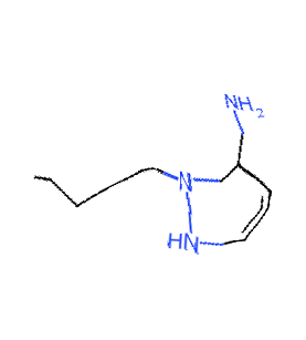 CCCN1NC=CC1N